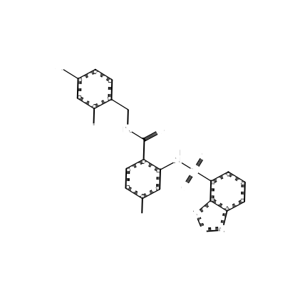 O=C(NCc1ccc(Cl)cc1Cl)c1ccc(I)cc1NS(=O)(=O)c1cccc2nsnc12